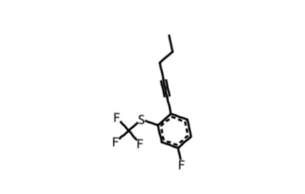 CCCC#Cc1ccc(F)cc1SC(F)(F)F